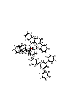 C1=CC(n2c3ccccc3c3ccc4c5ccccc5n(-c5nc(-c6ccccc6)nc(-c6cccc(-c7cc(-c8ccccc8)cc(-c8ccccc8)c7)c6)n5)c4c32)CC(c2ccccc2)=C1